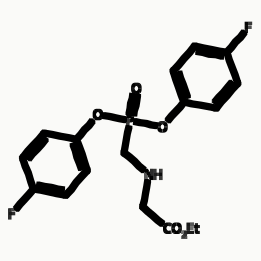 CCOC(=O)CNCP(=O)(Oc1ccc(F)cc1)Oc1ccc(F)cc1